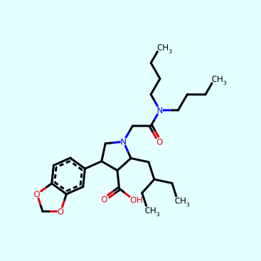 CCCCN(CCCC)C(=O)CN1CC(c2ccc3c(c2)OCO3)C(C(=O)O)C1CC(CC)CC